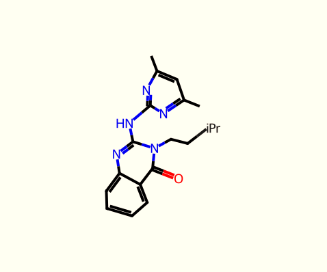 Cc1cc(C)nc(Nc2nc3ccccc3c(=O)n2CCC(C)C)n1